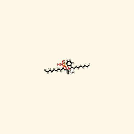 CCCCCCCCCCOCCCCCCCCCC.O=S(=O)(O)c1ccccc1.[NaH].[NaH]